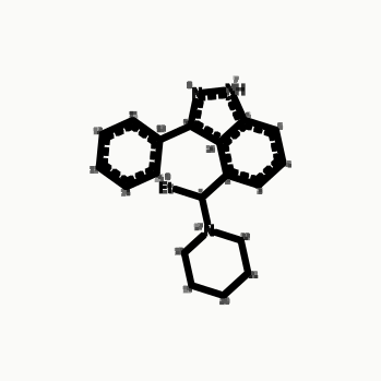 CCC(c1cccc2[nH]nc(-c3ccccc3)c12)N1CCCCC1